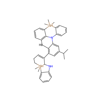 CC(C)c1cc(C2=CCC[SH]3(C)(C)c4ccccc4NC23)c2c(c1)N1c3ccccc3[SH](C)(C)(C)c3cccc(c31)B2